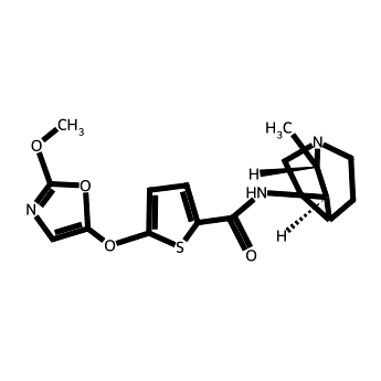 COc1ncc(Oc2ccc(C(=O)N[C@@H]3C4CCN(CC4)[C@H]3C)s2)o1